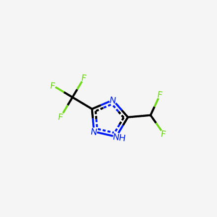 FC(F)c1nc(C(F)(F)F)n[nH]1